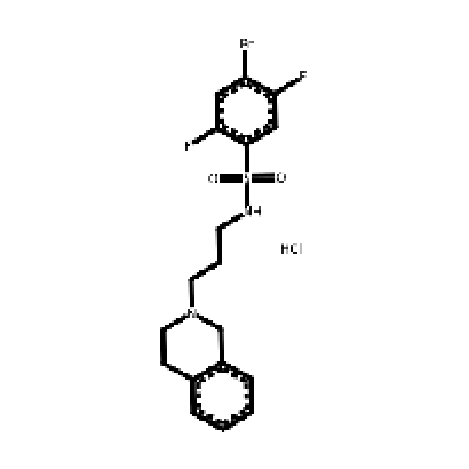 Cl.O=S(=O)(NCCCN1CCc2ccccc2C1)c1cc(F)c(Br)cc1F